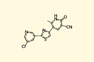 Cc1[nH]c(=O)c(C#N)cc1-c1csc(-c2cncc(Cl)c2)n1